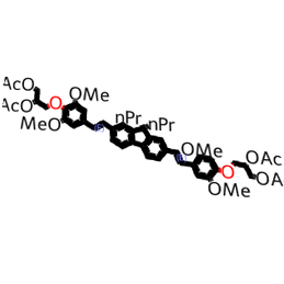 CCCC1(CCC)c2cc(/C=C/c3cc(OC)c(OCC(COC(C)=O)OC(C)=O)c(OC)c3)ccc2-c2ccc(/C=C/c3cc(OC)c(OCC(COC(C)=O)OC(C)=O)c(OC)c3)cc21